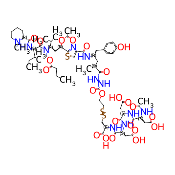 CCCC(=O)OCN(C(=O)[C@@H](NC(=O)[C@H]1CCCCN1C)C(C)CC)[C@H](C[C@@H](OC(C)=O)c1nc(C(=O)N[C@@H](Cc2ccc(O)cc2)C[C@H](C)C(=O)NNC(=O)OCCSSC[C@@H](NC(=O)[C@H](CC(=O)O)NC(=O)[C@H](CC(=O)O)NC(=O)[C@H](CC(=O)O)NC(C)=O)C(=O)O)cs1)C(C)C